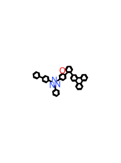 c1ccc(-c2ccc(-c3nc(-c4ccccc4)nc(-c4ccc5c(c4)oc4cccc(-c6ccc7c8ccccc8c8ccccc8c7c6)c45)n3)cc2)cc1